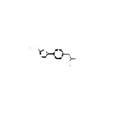 CCOC(Cc1ccc(-c2cnc(NC)s2)cc1)C(=O)O